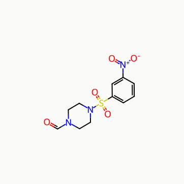 O=CN1CCN(S(=O)(=O)c2cccc([N+](=O)[O-])c2)CC1